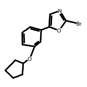 Brc1ncc(-c2cccc(OC3CCCC3)c2)o1